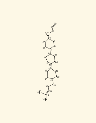 C=CCOC1CCC(C2CCC(C3CCC(CCC=C(F)F)CC3)CC2)CC1